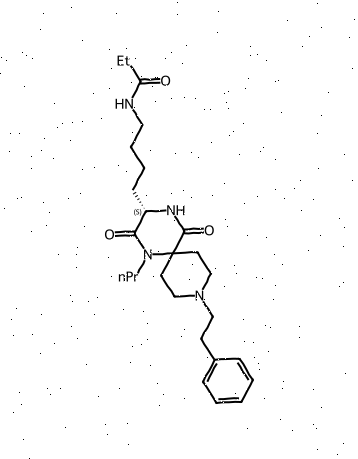 CCCN1C(=O)[C@H](CCCCNC(=O)CC)NC(=O)C12CCN(CCc1ccccc1)CC2